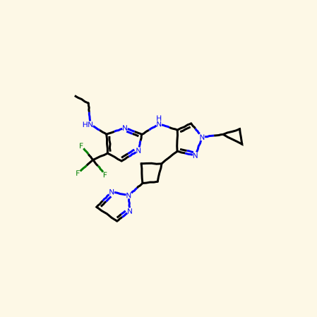 CCNc1nc(Nc2cn(C3CC3)nc2C2CC(n3nccn3)C2)ncc1C(F)(F)F